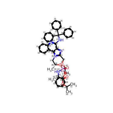 CCOCc1nc2c(NC(c3ccccc3)(c3ccccc3)c3ccccc3)nc3ccccc3c2n1C[C@@H](C)OP(=O)(N[C@@H](C)C(=O)OC(C)C)Oc1ccccc1